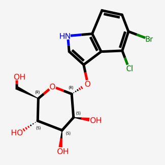 OC[C@H]1O[C@H](Oc2c[nH]c3ccc(Br)c(Cl)c23)[C@@H](O)[C@@H](O)[C@@H]1O